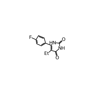 CCc1c(-c2ccc(F)cc2)[nH]c(=O)[nH]c1=O